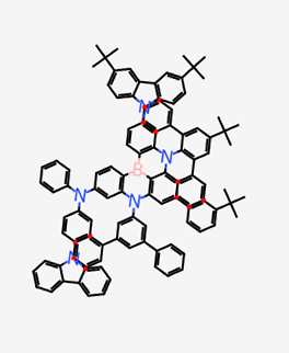 CC(C)(C)c1cccc(-c2cc3c4c(c2)N(c2c(-c5ccccc5)cc(C(C)(C)C)cc2-c2ccccc2)c2cc(-n5c6ccc(C(C)(C)C)cc6c6cc(C(C)(C)C)ccc65)ccc2B4c2ccc(N(c4ccccc4)c4ccc(-n5c6ccccc6c6ccccc65)cc4)cc2N3c2cc(-c3ccccc3)cc(-c3ccccc3)c2)c1